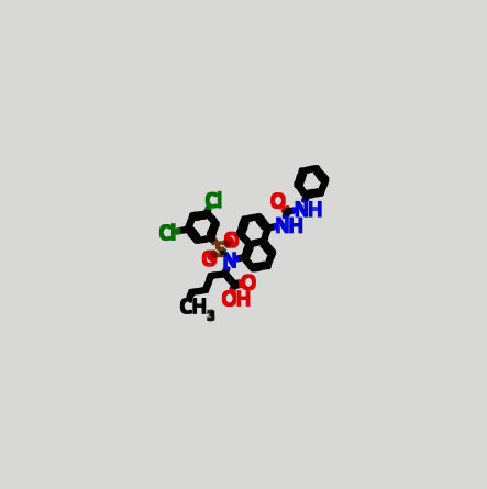 CCCCC(C(=O)O)N(c1cccc2c(NC(=O)Nc3ccccc3)cccc12)S(=O)(=O)c1cc(Cl)cc(Cl)c1